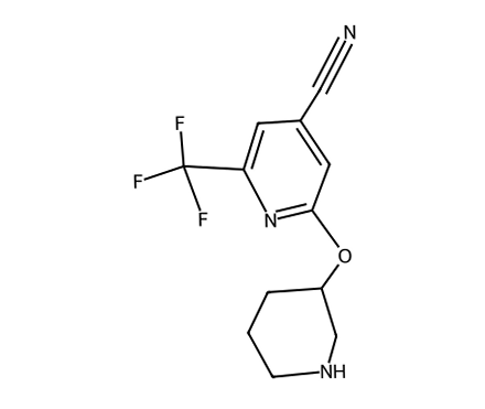 N#Cc1cc(OC2CCCNC2)nc(C(F)(F)F)c1